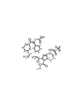 CCOC(=O)c1c(C(N)=O)sc2c1CCSC2.NCc1cccc(C(=O)N(CC(=O)O)c2ccccc2)c1.O=C(O)C(F)(F)F